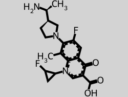 Cc1c(N2CC[C@@H]([C@H](C)N)C2)c(F)cc2c(=O)c(C(=O)O)cn(C3CC3F)c12